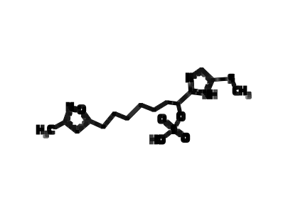 CSc1cnc(C(CCCCCCc2cc(C)no2)OS(=O)(=O)O)[nH]1